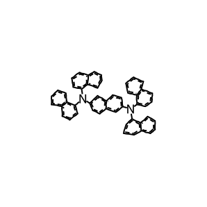 c1ccc2c(N(c3ccc4cc(N(c5cccc6ccccc56)c5cccc6ccccc56)ccc4c3)c3cccc4ccccc34)cccc2c1